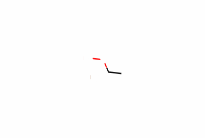 CCOO.S